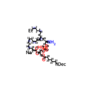 CC/C=C\C/C=C\C/C=C\C/C=C\C/C=C\C/C=C\CCC(=O)O[C@H](COC(=O)CCCCCCCCCCCCCCC)COP(=O)(O)OC[C@H](N)C(=O)[O-].[Na+]